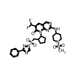 CS(=O)(=O)N1CCC(Nc2ncc3cc(C(F)F)c(=O)n(C4CCCC4CS(=O)(=O)n4cnc(-c5ccccc5)n4)c3n2)CC1